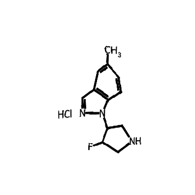 Cc1ccc2c(cnn2C2CNCC2F)c1.Cl